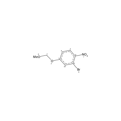 COCOc1ccc([N+](=O)[O-])c(Br)c1